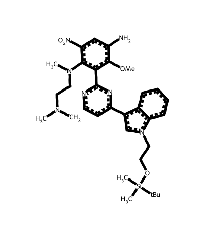 COc1c(N)cc([N+](=O)[O-])c(N(C)CCN(C)C)c1-c1nccc(-c2cn(CCO[Si](C)(C)C(C)(C)C)c3ccccc23)n1